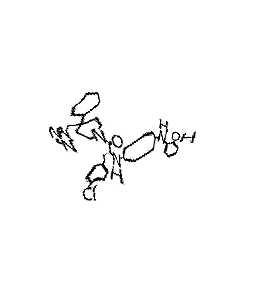 O=C([C@@H](Cc1ccc(Cl)cc1)N[C@H]1CC[C@H](Nc2ccccc2O)CC1)N1CCC(Cn2cncn2)(C2CCCCC2)CC1